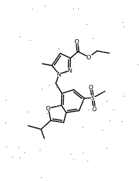 CCOC(=O)c1cc(C)n(Cc2cc(S(C)(=O)=O)cc3cc(C(C)C)oc23)n1